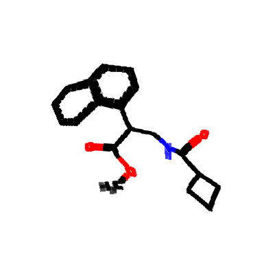 COC(=O)C(CNC(=O)C1CCC1)c1cccc2ccccc12